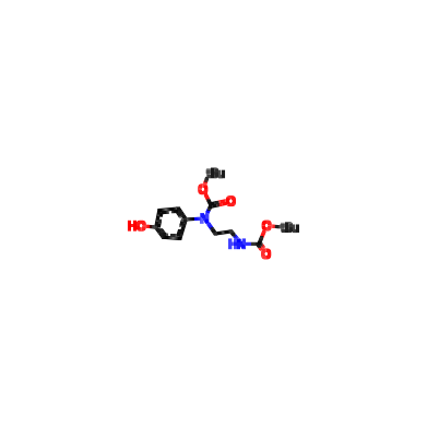 CC(C)(C)OC(=O)NCCN(C(=O)OC(C)(C)C)c1ccc(O)cc1